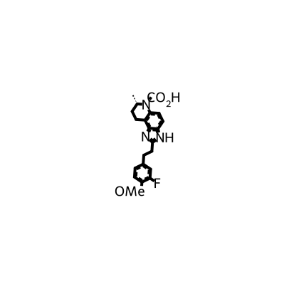 COc1ccc(CCc2nc3c4c(ccc3[nH]2)N(C(=O)O)[C@@H](C)CC4)cc1F